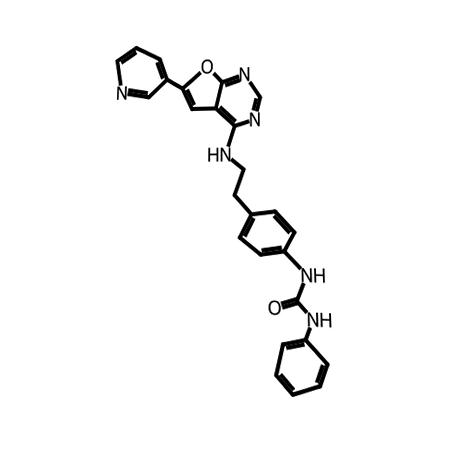 O=C(Nc1ccccc1)Nc1ccc(CCNc2ncnc3oc(-c4cccnc4)cc23)cc1